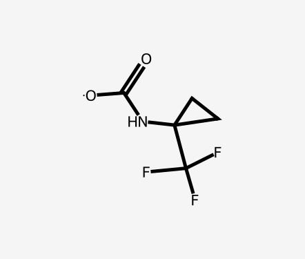 [O]C(=O)NC1(C(F)(F)F)CC1